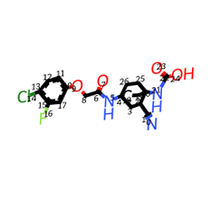 N#CC1CC2(NC(=O)COc3ccc(Cl)c(F)c3)CCC1(NC(=O)O)CC2